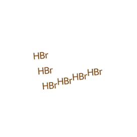 Br.Br.Br.Br.Br.Br